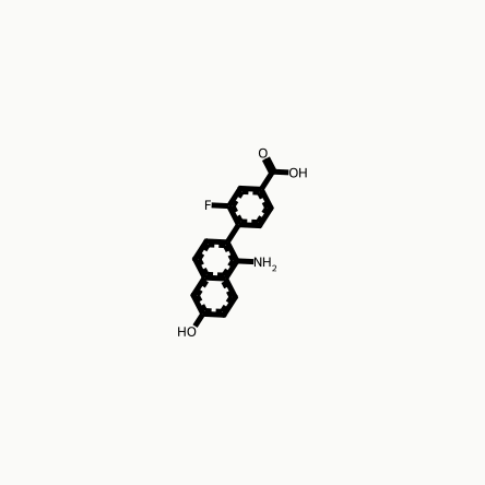 Nc1c(-c2ccc(C(=O)O)cc2F)ccc2cc(O)ccc12